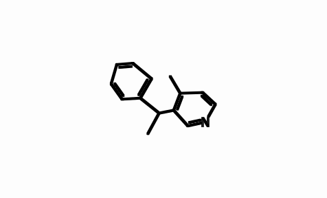 Cc1ccncc1C(C)c1ccccc1